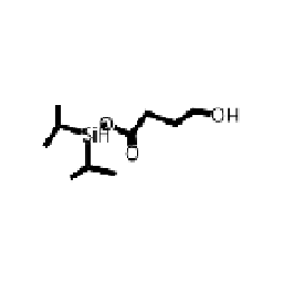 CC(C)[SiH](OC(=O)CCCO)C(C)C